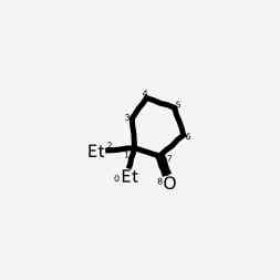 CCC1(CC)CCCCC1=O